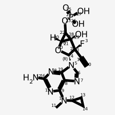 C#C[C@]1(F)[C@H](n2cnc3c(N(C)C4CC4)nc(N)nc32)O[C@@H]2C(OP(=O)(O)O)[C@@]21O